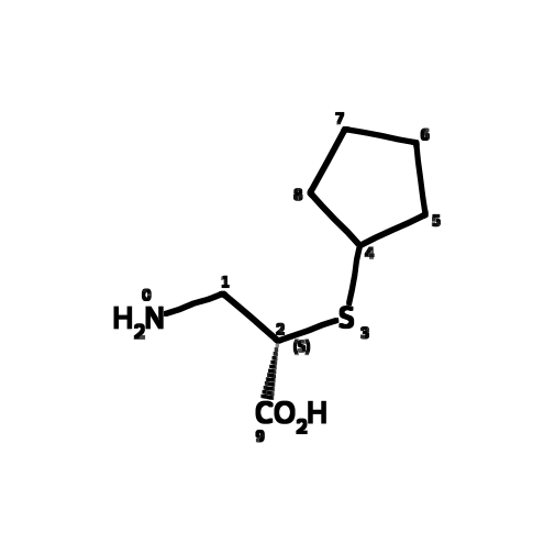 NC[C@H](SC1CCCC1)C(=O)O